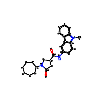 CCn1c2ccccc2c2cc(NC(=O)C3CC(=O)N(C4CCCCCC4)C3)ccc21